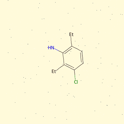 CCc1ccc(Cl)c(CC)c1[NH]